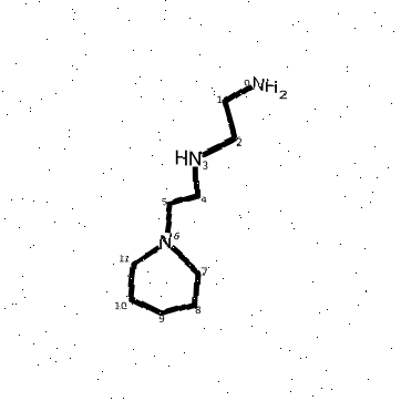 NCCNCCN1CCCCC1